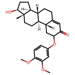 COc1ccc(OC2C[C@H]3C(=CC2=O)CC[C@@H]2[C@@H]3CC[C@]3(C)[C@@H](O)CC[C@@H]23)cc1OC